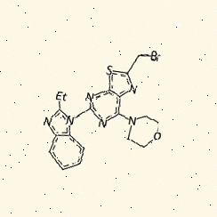 CCc1nc2ccccc2n1-c1nc(N2CCOCC2)c2nc(CBr)sc2n1